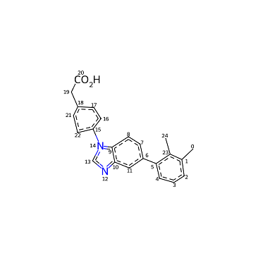 Cc1cccc(-c2ccc3c(c2)ncn3-c2ccc(CC(=O)O)cc2)c1C